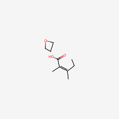 C1COC1.CCC(C)=C(C)C(=O)O